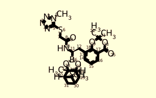 Cn1nnnc1SCC(=O)N[C@@H](Cc1cccc2c1OC(C)(C)OC2=O)B1O[C@@H]2CC3C[C@@H](C3(C)C)[C@]2(C)O1